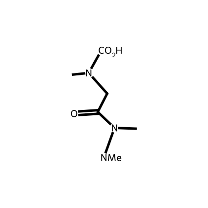 CNN(C)C(=O)CN(C)C(=O)O